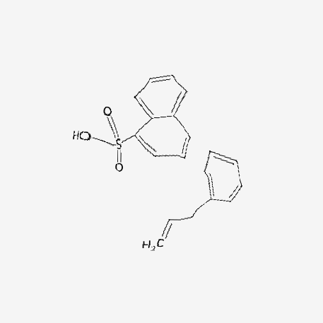 C=CCc1ccccc1.O=S(=O)(O)c1cccc2ccccc12